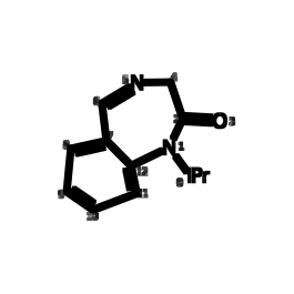 CC(C)N1C(=O)CN=Cc2ccccc21